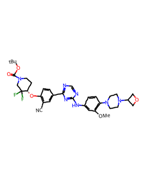 COc1cc(Nc2ncnc(-c3ccc(O[C@H]4CCN(C(=O)OC(C)(C)C)CC4(F)F)c(C#N)c3)n2)ccc1N1CCN(C2COC2)CC1